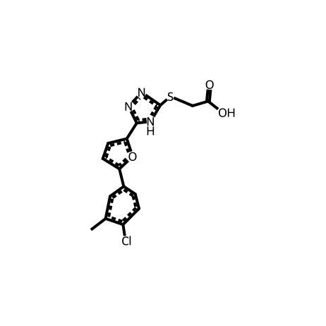 Cc1cc(-c2ccc(-c3nnc(SCC(=O)O)[nH]3)o2)ccc1Cl